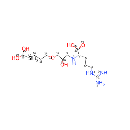 N=C(N)NCCC[C@H](NCC(O)COCCC[SiH2]C(O)O)C(=O)O